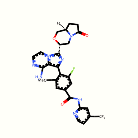 COc1cc(C(=O)Nc2cc(C(F)(F)F)ccn2)cc(F)c1-c1nc([C@H]2CN3C(=O)CC[C@@H]3CO2)n2ccnc(N)c12